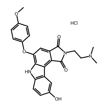 COc1ccc(Oc2cc3c(c4c2[nH]c2ccc(O)cc24)C(=O)N(CCN(C)C)C3=O)cc1.Cl